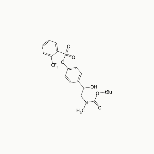 CN(CC(O)c1ccc(OS(=O)(=O)c2ccccc2C(F)(F)F)cc1)C(=O)OC(C)(C)C